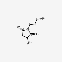 CC(C)CCCN1C(=O)CC(C(C)C)C1=O